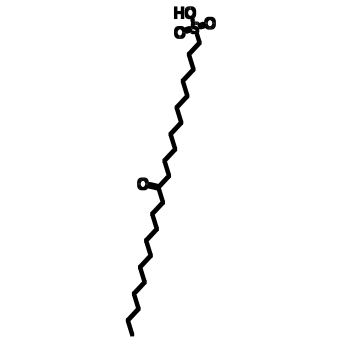 CCCCCCCCCCCC(=O)CCCCCCCCCCCS(=O)(=O)O